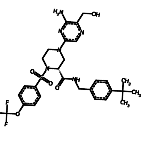 CC(C)(C)c1ccc(CNC(=O)[C@H]2CN(c3cnc(CO)c(N)n3)CCN2S(=O)(=O)c2ccc(OC(F)(F)F)cc2)cc1